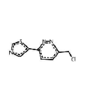 ClCc1ccc(-c2cncs2)nn1